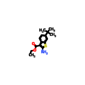 CCOC(=O)c1c(N)sc2cc(C(C)(C)C)ccc12